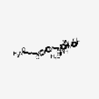 C=CC(=O)Nc1cc2c(Nc3ccc(F)c(Cl)c3)ncnc2cc1OCCCN1CCC(N2CCN(C(=O)CCCCCCC(N)=O)CC2)CC1